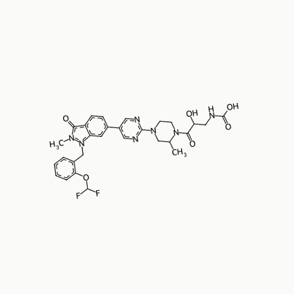 CC1CN(c2ncc(-c3ccc4c(=O)n(C)n(Cc5ccccc5OC(F)F)c4c3)cn2)CCN1C(=O)C(O)CNC(=O)O